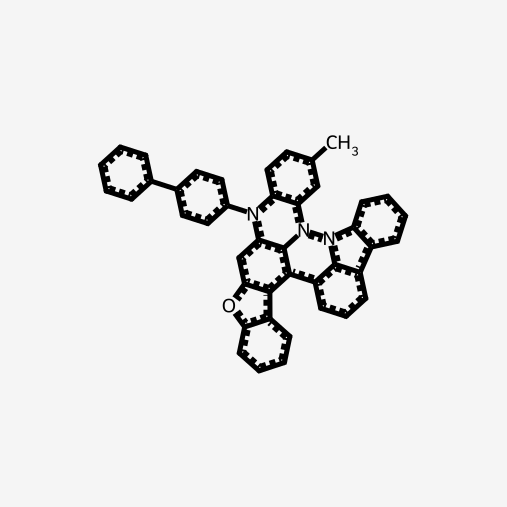 Cc1ccc2c(c1)n1n3c4ccccc4c4cccc(c5c-1c(cc1oc6ccccc6c15)n2-c1ccc(-c2ccccc2)cc1)c43